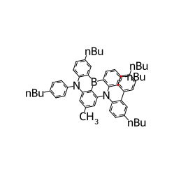 CCCCc1ccc(-c2cc(CCCC)ccc2N2c3cc(CCCC)ccc3B3c4cc(CCCC)ccc4N(c4ccc(CCCC)cc4)c4cc(C)cc2c43)cc1